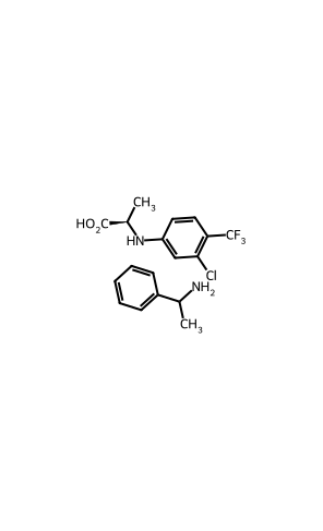 CC(N)c1ccccc1.C[C@@H](Nc1ccc(C(F)(F)F)c(Cl)c1)C(=O)O